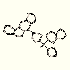 S=P(c1ccccc1)(c1ccc(-c2c3cccnc3cc3c2ccc2ccccc23)cc1)c1ccc2ccccc2c1